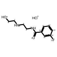 Cl.O=C(NCCNCCO)c1cccc(F)c1